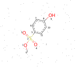 COS(=O)(=O)c1ccc(O)cc1